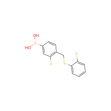 OB(O)c1ccc(CSc2ccccc2F)c(F)c1